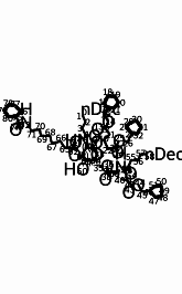 CCCCCCCCCCCCCC(=O)N[C@H]1[C@@H](OC(CC(=O)OCc2ccccc2)CC(=O)OCc2ccccc2)O[C@H](COC(=O)[C@@H](CCC(=O)OCc2ccccc2)NC(=O)CCCCCCCCCCCCC)[C@@H](O)[C@@H]1OC(=O)CCCCCCCNC(=O)c1ccccc1